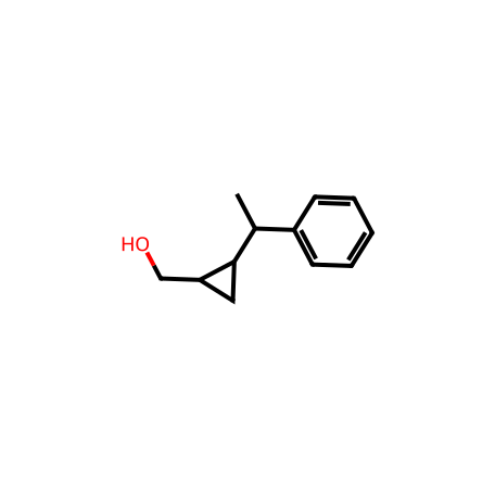 CC(c1ccccc1)C1CC1CO